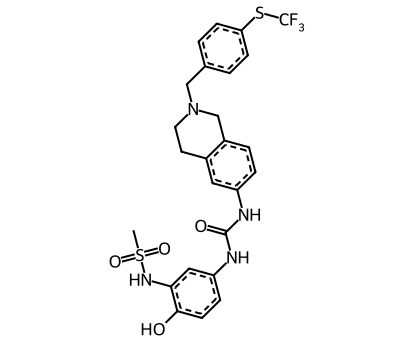 CS(=O)(=O)Nc1cc(NC(=O)Nc2ccc3c(c2)CCN(Cc2ccc(SC(F)(F)F)cc2)C3)ccc1O